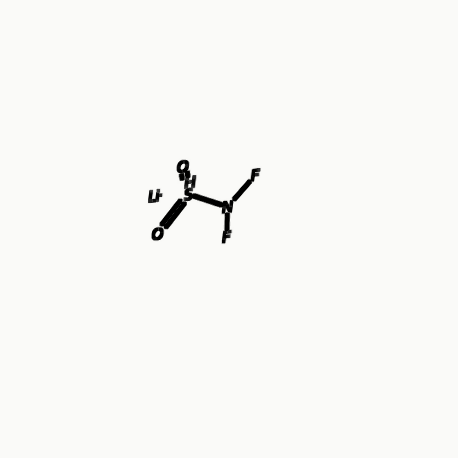 O=[SH](=O)N(F)F.[Li]